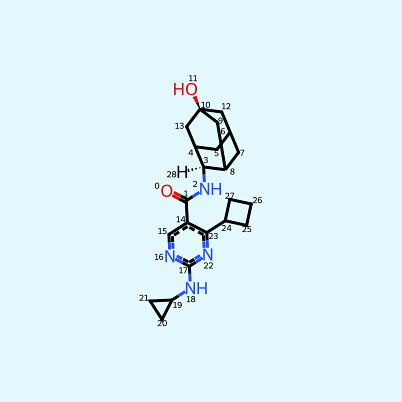 O=C(N[C@H]1C2CC3CC1C[C@@](O)(C3)C2)c1cnc(NC2CC2)nc1C1CCC1